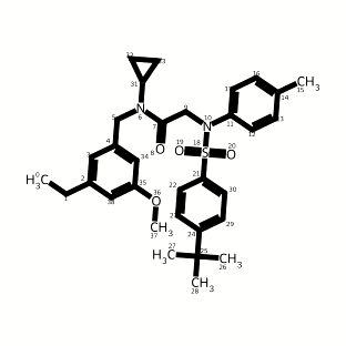 CCc1cc(CN(C(=O)CN(c2ccc(C)cc2)S(=O)(=O)c2ccc(C(C)(C)C)cc2)C2CC2)cc(OC)c1